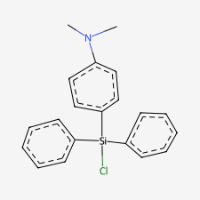 CN(C)c1ccc([Si](Cl)(c2ccccc2)c2ccccc2)cc1